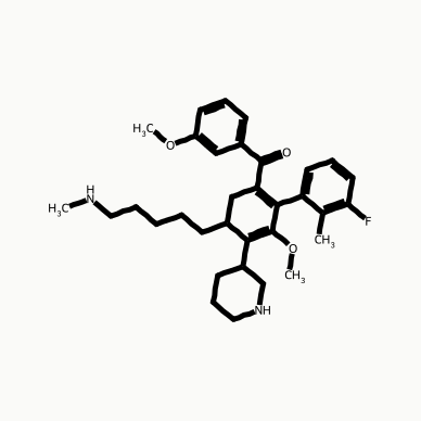 CNCCCCC[C]1CC(C(=O)c2cccc(OC)c2)=C(c2cccc(F)c2C)C(OC)=C1C1CCCNC1